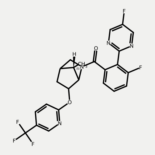 C[C@H]1C2CC(Oc3ccc(C(F)(F)F)cn3)C1N(C(=O)c1cccc(F)c1-c1ncc(F)cn1)C2